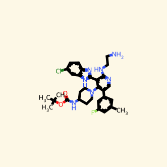 Cc1cc(F)cc(-c2cnc(NCCN)c(-c3nc4ccc(Cl)cc4[nH]3)c2N2CCC(NC(=O)OC(C)(C)C)CC2)c1